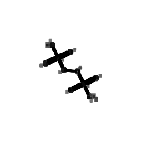 CS(=O)(=O)OOS(=O)(=O)O